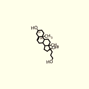 C[C@]12CC[C@H](O)CC1=CCC1C2CC[C@@]2(C)C1CC[C@@]2(O)CCCO